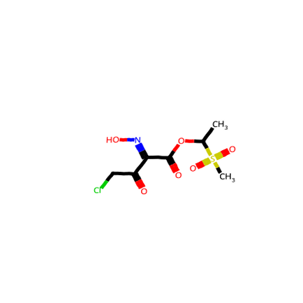 CC(OC(=O)C(=NO)C(=O)CCl)S(C)(=O)=O